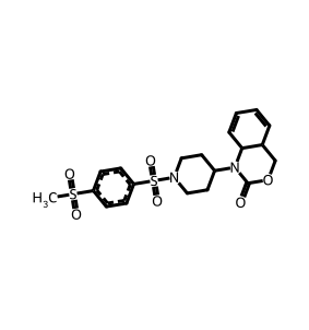 CS(=O)(=O)c1ccc(S(=O)(=O)N2CCC(N3C(=O)OCC4C=CC=CC43)CC2)cc1